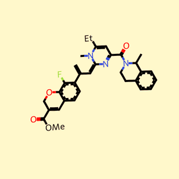 C=C(/C=C1/N=C(C(=O)N2CCc3ccccc3C2C)C=C(CC)N1C)c1ccc2c(c1F)OCC(C(=O)OC)=C2